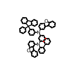 c1ccc(-c2ccccc2N(c2cccc(N(c3cccc(C4(c5ccccc5)c5ccccc5-c5ccccc54)c3)c3ccc4oc5ccccc5c4c3)c2)c2cccc3oc4ccccc4c23)cc1